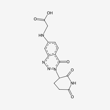 O=C(O)CNc1ccc2c(=O)n(C3CCC(=O)NC3=O)nnc2c1